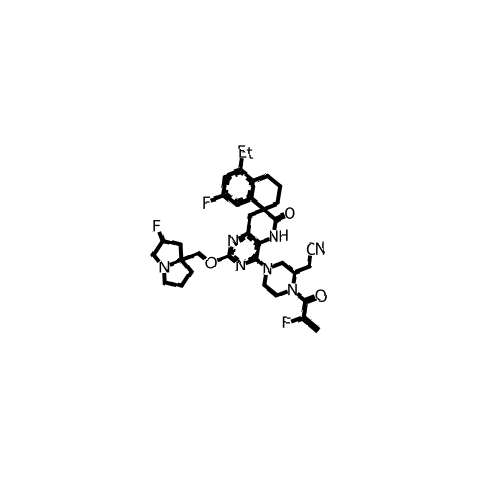 C=C(F)C(=O)N1CCN(c2nc(OCC34CCCN3CC(F)C4)nc3c2NC(=O)C2(CCCc4c(CC)cc(F)cc42)C3)CC1CC#N